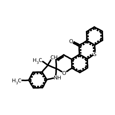 Cc1ccc2c(c1)C(C)(C)C1(C=Cc3c(ccc4sc5ccccc5c(=O)c34)O1)N2